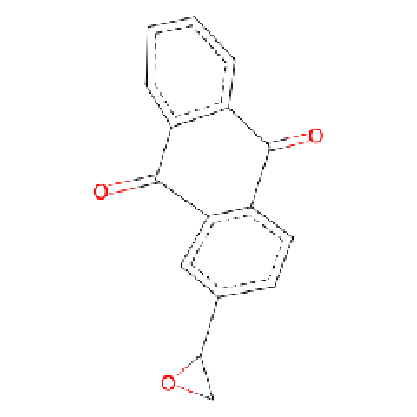 O=C1c2ccccc2C(=O)c2cc(C3CO3)ccc21